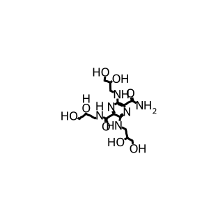 NC(=O)c1nc(NCC(O)CO)c(C(=O)NCC(O)CO)nc1NCC(O)CO